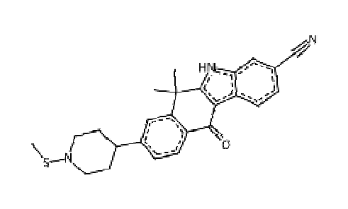 CSN1CCC(c2ccc3c(c2)C(C)(C)c2[nH]c4cc(C#N)ccc4c2C3=O)CC1